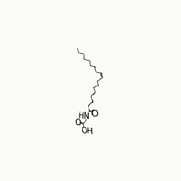 CCCCCCCC/C=C\CCCCCCCC(=O)NCC(=O)O